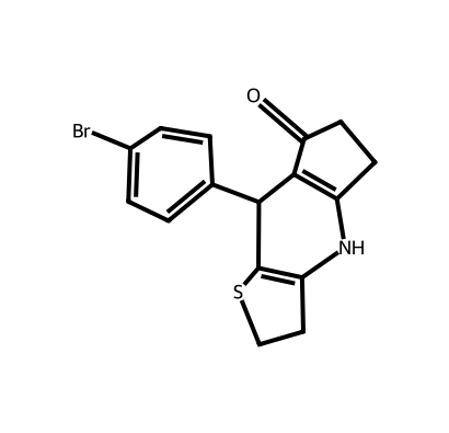 O=C1CCC2=C1C(c1ccc(Br)cc1)C1=C(CCS1)N2